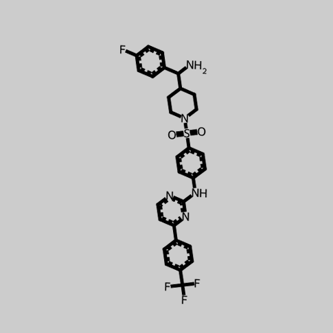 NC(c1ccc(F)cc1)C1CCN(S(=O)(=O)c2ccc(Nc3nccc(-c4ccc(C(F)(F)F)cc4)n3)cc2)CC1